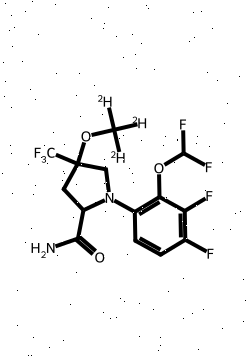 [2H]C([2H])([2H])OC1(C(F)(F)F)CC(C(N)=O)N(c2ccc(F)c(F)c2OC(F)F)C1